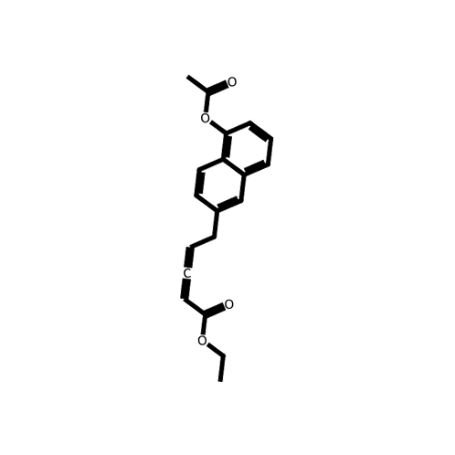 CCOC(=O)C=C=CCc1ccc2c(OC(C)=O)cccc2c1